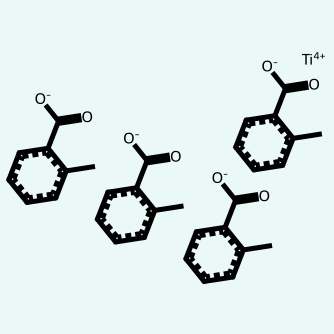 Cc1ccccc1C(=O)[O-].Cc1ccccc1C(=O)[O-].Cc1ccccc1C(=O)[O-].Cc1ccccc1C(=O)[O-].[Ti+4]